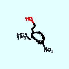 CS(=O)(=O)O.O=[N+]([O-])c1ccc(CCO)cc1